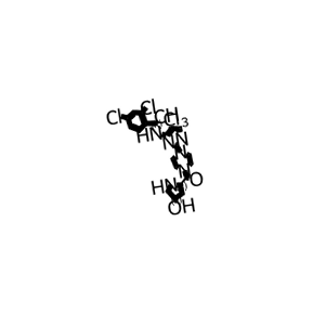 C[C@@H](Nc1nc(N2CCN(C(=O)[C@H]3C[C@H](O)CN3)CC2)ncc1Cl)c1ccc(Cl)cc1Cl